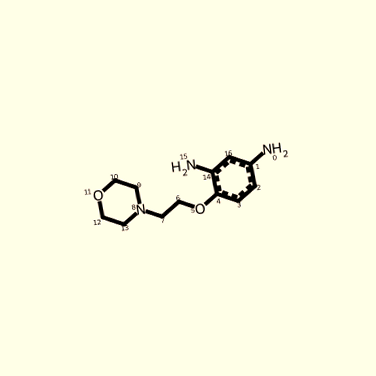 Nc1ccc(OCCN2CCOCC2)c(N)c1